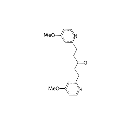 COc1ccnc(CCC(=O)CCc2cc(OC)ccn2)c1